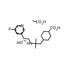 CC(=O)O.CC(C)(CC1CCC(C(=O)O)CC1)NC[C@H](O)c1cncc(F)c1